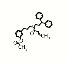 C/C=C/C(=O)N(CCCc1cccc(OC(C)=O)c1)CCC(c1ccccc1)c1ccccc1